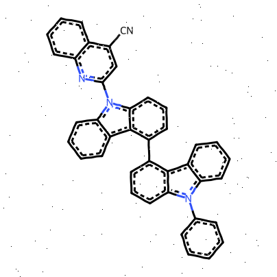 N#Cc1cc(-n2c3ccccc3c3c(-c4cccc5c4c4ccccc4n5-c4ccccc4)cccc32)nc2ccccc12